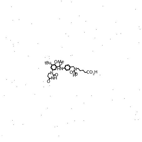 COc1c(C(=O)Nc2ccc(CN(CCCCC(=O)O)[SH](=O)=O)cc2)cc(N2CCC(=O)NC2=O)cc1C(C)(C)C